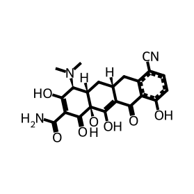 CN(C)[C@@H]1C(O)=C(C(N)=O)C(=O)[C@@]2(O)C(O)=C3C(=O)c4c(O)ccc(C#N)c4C[C@H]3C[C@@H]12